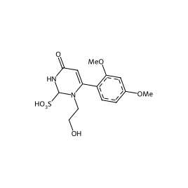 COc1ccc(C2=CC(=O)NC(S(=O)(=O)O)N2CCO)c(OC)c1